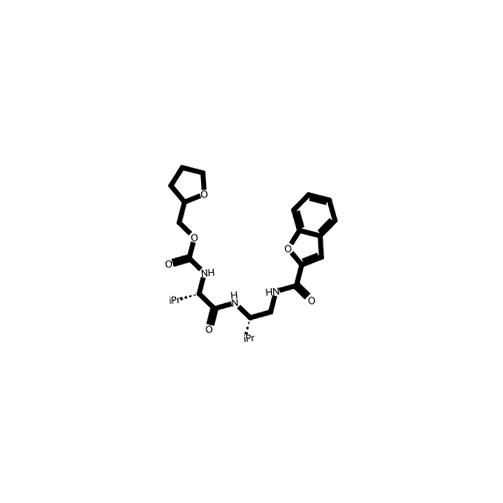 CC(C)[C@H](NC(=O)OCC1CCCO1)C(=O)N[C@H](CNC(=O)c1cc2ccccc2o1)C(C)C